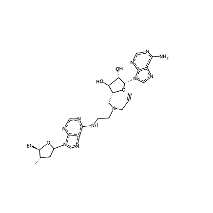 C#CCN(CCNc1ncnc2c1ncn2C1C[C@H](C)[C@@H](CC)O1)C[C@H]1O[C@@H](n2cnc3c(N)ncnc32)[C@@H](O)C1O